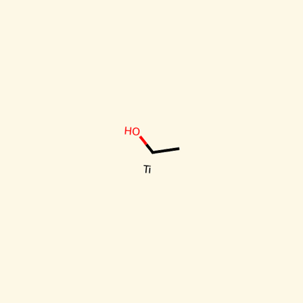 CCO.[Ti]